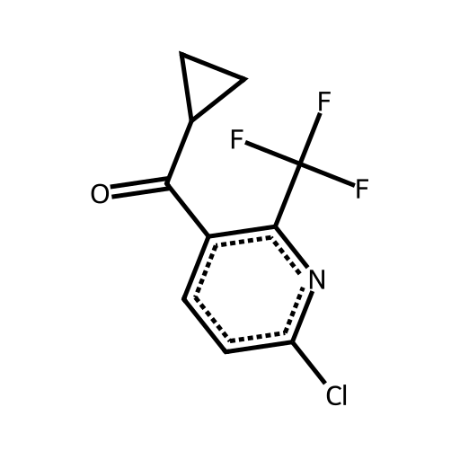 O=C(c1ccc(Cl)nc1C(F)(F)F)C1CC1